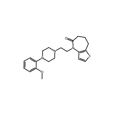 COc1ccccc1N1CCN(CCN2C(=O)CCCc3sccc32)CC1